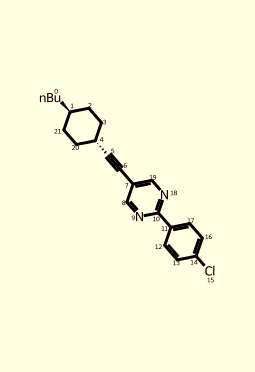 CCCC[C@H]1CC[C@H](C#Cc2cnc(-c3ccc(Cl)cc3)nc2)CC1